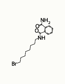 NC(=O)c1ccccc1C(=O)NCCCCCCCCBr